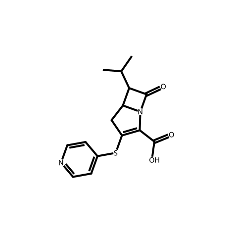 CC(C)C1C(=O)N2C(C(=O)O)=C(Sc3ccncc3)CC12